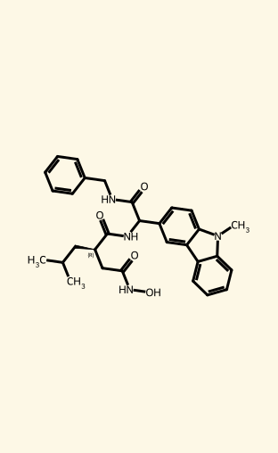 CC(C)C[C@H](CC(=O)NO)C(=O)NC(C(=O)NCc1ccccc1)c1ccc2c(c1)c1ccccc1n2C